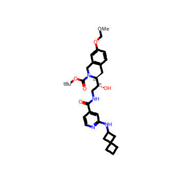 COCOc1ccc2c(c1)CN(C(=O)OC(C)(C)C)[C@H]([C@H](O)CNC(=O)c1ccnc(NC3CC4(CCC4)C3)c1)C2